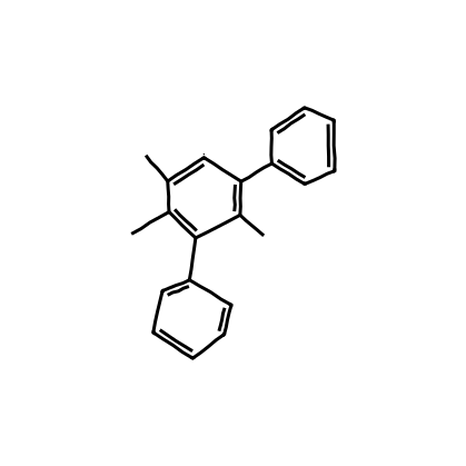 Cc1[c]c(-c2ccccc2)c(C)c(-c2ccccc2)c1C